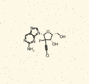 Nc1ncc2ncn([C@@H]3O[C@H](CO)[C@H](O)C3(F)C#CCl)c2n1